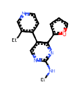 CCNc1ncc(-c2ccncc2CC)c(-c2ccco2)n1